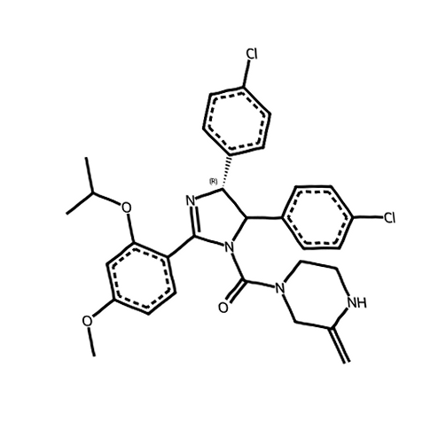 C=C1CN(C(=O)N2C(c3ccc(OC)cc3OC(C)C)=N[C@H](c3ccc(Cl)cc3)C2c2ccc(Cl)cc2)CCN1